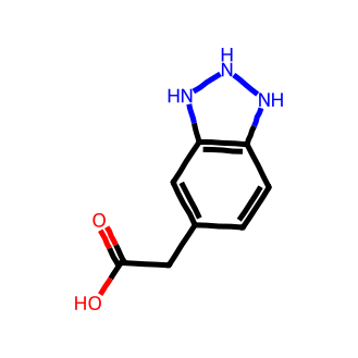 O=C(O)Cc1ccc2c(c1)NNN2